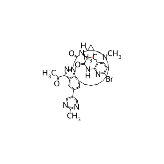 CC(=O)c1nn2c3c(cc(-c4cnc(C)nc4)cc13)CCCCCCCN(C)C[C@@]13C[C@@H](C(=O)Nc4nc(Br)ccc4C)N(C(=O)C2)[C@@H]1C3